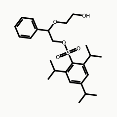 CC(C)c1cc(C(C)C)c(S(=O)(=O)OCC(OCCO)c2ccccc2)c(C(C)C)c1